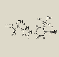 CC(C(=O)O)c1ccn(-c2ccc(C#N)c(C(F)(F)F)c2)n1